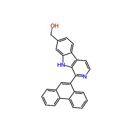 OCc1ccc2c(c1)[nH]c1c(-c3cc4ccccc4c4ccccc34)nccc12